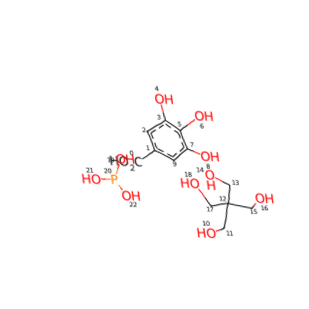 O=C(O)c1cc(O)c(O)c(O)c1.OCC(CO)(CO)CO.OP(O)O